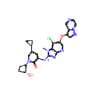 Cn1c(Nc2cc(C3CC3)cn([C@@H]3CC[C@H]3O)c2=O)nc2ncc(Oc3cnn4ccncc34)c(Cl)c21